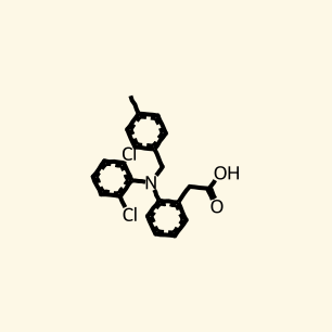 Cc1ccc(CN(c2ccccc2CC(=O)O)c2c(Cl)cccc2Cl)cc1